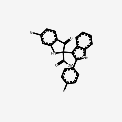 COC(=O)C1(c2c(-c3ccc(F)cc3)[nH]c3ccccc23)Nc2cc(Br)ccc2C1=O